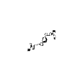 C=CC(=O)OCCCOc1ccc(C(=O)COC(=O)C=C)cc1